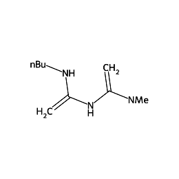 C=C(NC)NC(=C)NCCCC